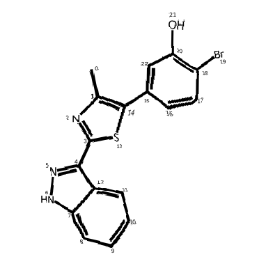 Cc1nc(-c2n[nH]c3ccccc23)sc1-c1ccc(Br)c(O)c1